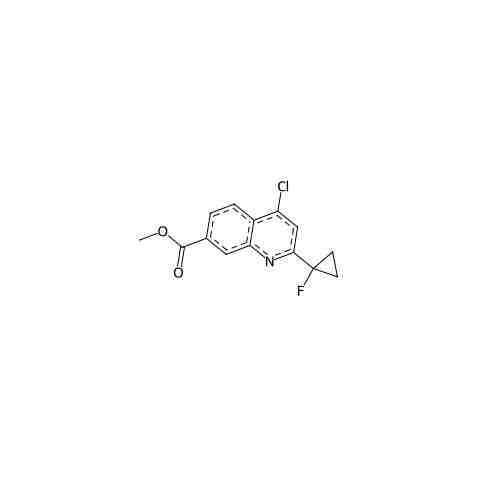 COC(=O)c1ccc2c(Cl)cc(C3(F)CC3)nc2c1